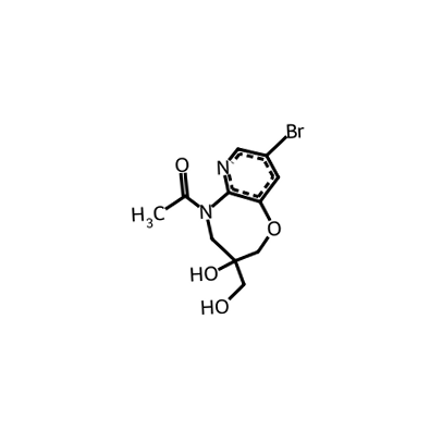 CC(=O)N1CC(O)(CO)COc2cc(Br)cnc21